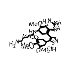 COc1cc(NC(=N)N)c(-c2cnsc2-c2cc(OC)c(OC)c(OC)c2)cc1NC(=O)CCCCN.Cl